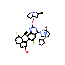 C#Cc1c(F)ccc2cc(O)cc(-c3c(F)cc4c(N5C[C@@H]6CC[C@](C7CCCC7)(C5)N6)nc(OC[C@@]56CCCN5CC(=C)C6)nc4c3F)c12